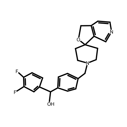 OC(c1ccc(CN2CCC3(CC2)OCc2ccncc23)cc1)c1ccc(F)c(F)c1